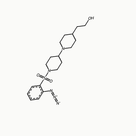 [N-]=[N+]=Nc1ccccc1S(=O)(=O)N1CCC(N2CCC(CCO)CC2)CC1